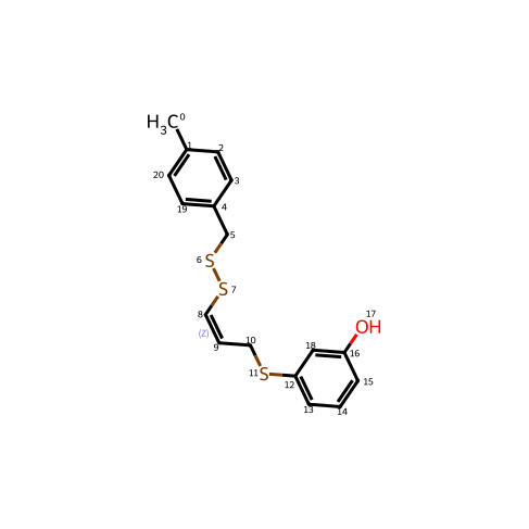 Cc1ccc(CSS/C=C\CSc2cccc(O)c2)cc1